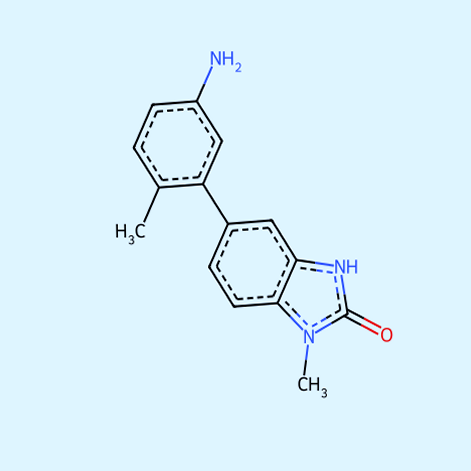 Cc1ccc(N)cc1-c1ccc2c(c1)[nH]c(=O)n2C